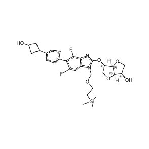 C[Si](C)(C)CCOCn1c(O[C@@H]2CO[C@H]3[C@@H]2OC[C@H]3O)nc2c(F)c(-c3ccc(C4CC(O)C4)cc3)c(F)cc21